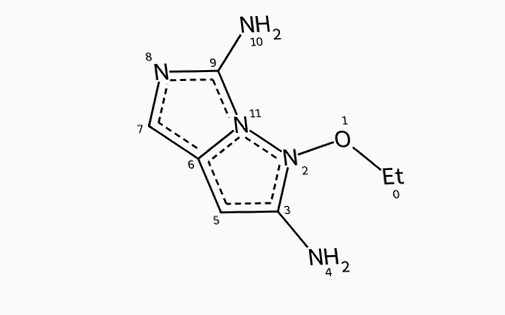 CCOn1c(N)cc2cnc(N)n21